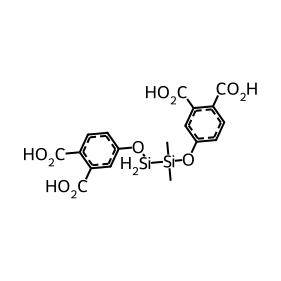 C[Si](C)(Oc1ccc(C(=O)O)c(C(=O)O)c1)[SiH2]Oc1ccc(C(=O)O)c(C(=O)O)c1